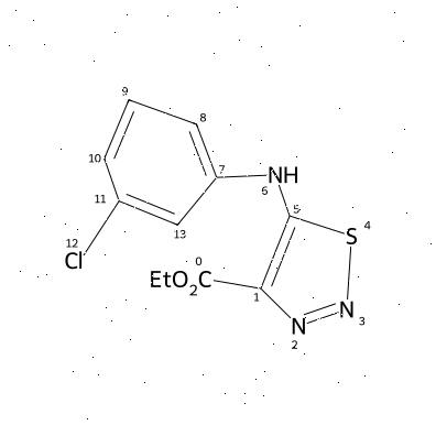 CCOC(=O)c1nnsc1Nc1cccc(Cl)c1